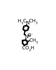 Cc1cc(C(=O)O)ccc1[N+]([O-])=Cc1ccc(N(C)C)cc1